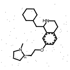 CN1CCC[C@@H]1CCOc1ccc2c(c1)C(CC1CCCCC1)NCC2